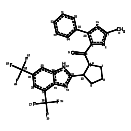 Cc1nc(C(=O)N2CCCC2c2nc3c(C(F)(F)F)cc(C(F)(F)F)cc3[nH]2)c(-c2ccccc2)s1